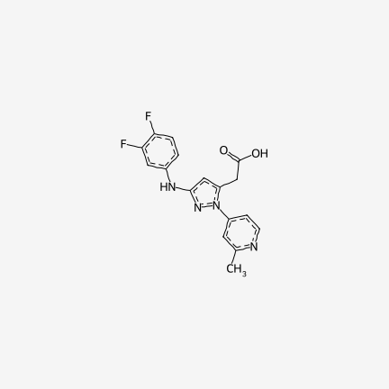 Cc1cc(-n2nc(Nc3ccc(F)c(F)c3)cc2CC(=O)O)ccn1